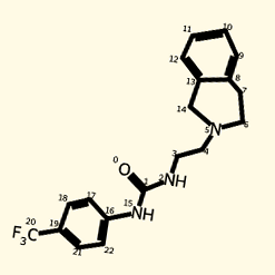 O=C(NCCN1CCc2ccccc2C1)Nc1ccc(C(F)(F)F)cc1